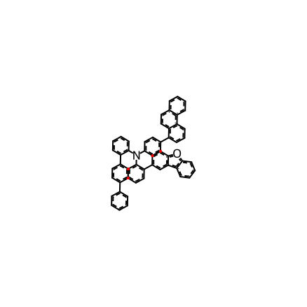 c1ccc(-c2ccc(-c3ccccc3N(c3ccc(-c4cccc5c4ccc4ccccc45)cc3)c3ccccc3-c3ccc4oc5ccccc5c4c3)cc2)cc1